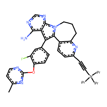 Cc1ccnc(Oc2ccc(-c3c4n(c5ncnc(N)c35)CCCc3nc(C#C[Si](C(C)C)(C(C)C)C(C)C)ccc3-4)cc2F)n1